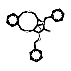 FC1OC2COCc3ccccc3COC([C@@H]1OCc1ccccc1)[C@@H]2OCc1ccccc1